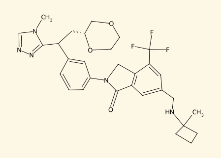 Cn1cnnc1C(C[C@@H]1COCCO1)c1cccc(N2Cc3c(cc(CNC4(C)CCC4)cc3C(F)(F)F)C2=O)c1